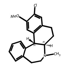 COc1cc2c(cc1Cl)CC[C@@H]1[C@@H]2c2ccccc2CCN1C